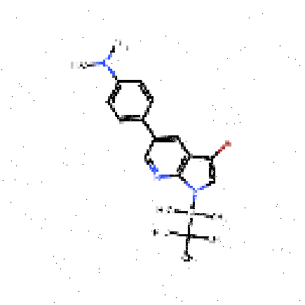 CN(C)c1ccc(-c2cnc3c(c2)c(Br)cn3[Si](C)(C)C(C)(C)C)cc1